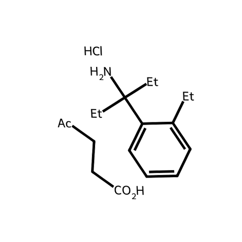 CC(=O)CCC(=O)O.CCc1ccccc1C(N)(CC)CC.Cl